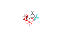 CCOC(=O)c1oc2c(C(F)(F)F)cc(C(C)C)cc2c1B1OC(C)(C)C(C)(C)O1